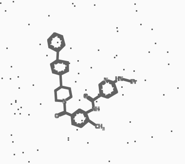 Cc1ccc(C(=O)N2CCC(c3ccc(-c4ccccc4)cc3)CC2)cc1NC(=O)c1ccc(NC(C)C)nc1